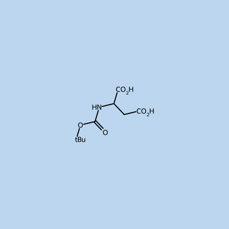 CC(C)(C)OC(=O)NC(CC(=O)O)C(=O)O